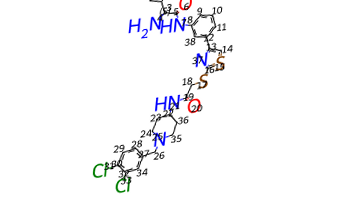 CC(C)[C@H](N)C(=O)Nc1cccc(-c2csc(SCC(=O)NC3CCN(Cc4ccc(Cl)c(Cl)c4)CC3)n2)c1